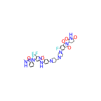 CNC(=O)c1ccccc1Nc1cc(Nc2ccc(N3CCC(CN4CCN(c5cc6c(cc5F)C(=O)N(C5CCC(=O)NC5=O)C6=O)CC4)CC3)cc2OC)ncc1C(F)(F)F